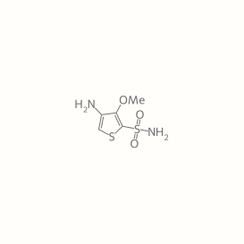 COc1c(N)csc1S(N)(=O)=O